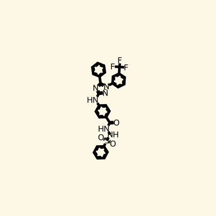 O=C(NNS(=O)(=O)c1ccccc1)c1ccc(Nc2nc(-c3ccccc3)n(-c3cccc(C(F)(F)F)c3)n2)cc1